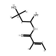 CC=C(C)C(=O)OC(CCC)CC(C)(C)O